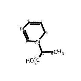 CC(C(=O)O)N1C=NC=CC1